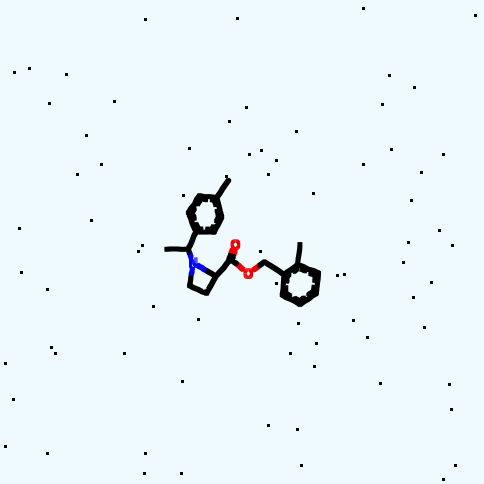 Cc1ccc(C(C)N2CCC2C(=O)OCc2ccccc2C)cc1